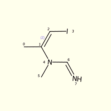 C/C(=C/I)N(C)C=N